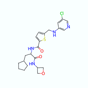 O=C(NC(CC1CCCC1)C(=O)NC1COC1)c1ccc(CNc2cncc(Cl)c2)s1